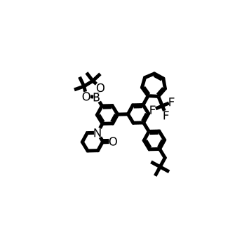 CC(C)(C)Cc1ccc(C2=CC(C3=CCC=CC=C3C(F)(F)F)=CC(c3cc(B4OC(C)(C)C(C)(C)O4)cc(N4CCCCC4=O)c3)C2)cc1